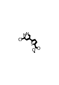 COC(=O)c1ccc(-c2cnnc(Cl)c2)s1